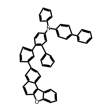 c1ccc(-c2ccc(N(c3ccccc3)c3ccc(-c4cccc(-c5ccc6c(ccc7oc8ccccc8c76)c5)c4)c(-c4ccccc4)c3)cc2)cc1